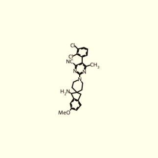 COc1ccc2c(c1)[C@@H](N)C1(CCN(c3nc(C)c(-c4cccc(Cl)c4Cl)c(C#N)n3)CC1)C2